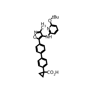 Cc1noc(-c2ccc(-c3ccc(C4(C(=O)O)CC4)cc3)cc2)c1Nc1cccc(OC(C)(C)C)n1